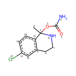 CC1(OC(N)=O)NCCc2cc(Cl)ccc21